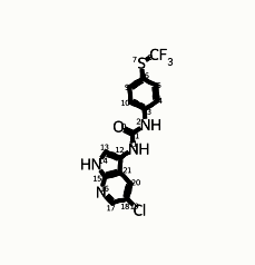 O=C(Nc1ccc(SC(F)(F)F)cc1)Nc1c[nH]c2ncc(Cl)cc12